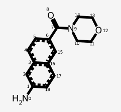 Nc1[c]c2ccc(C(=O)N3CCOCC3)cc2cc1